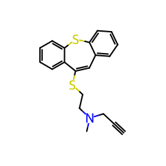 C#CCN(C)CCSC1=Cc2ccccc2Sc2ccccc21